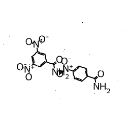 NC(=O)c1cc([N+](=O)[O-])cc([N+](=O)[O-])c1.NC(=O)c1ccc([N+](=O)[O-])cc1